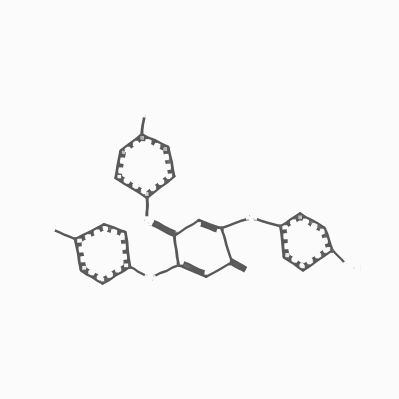 O=C1C=C(Nc2ccc(O)cc2)C(=Nc2ccc(O)cc2)C=C1Nc1ccc(O)cc1